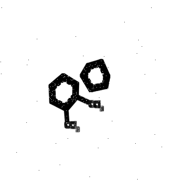 ClC(Cl)(Cl)c1ccccc1C(Cl)(Cl)Cl.c1ccccc1